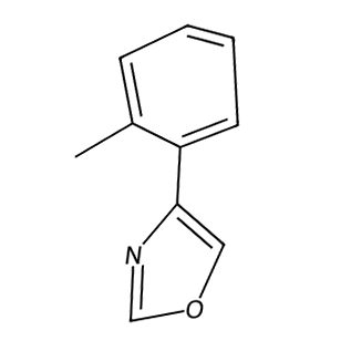 Cc1ccccc1-c1cocn1